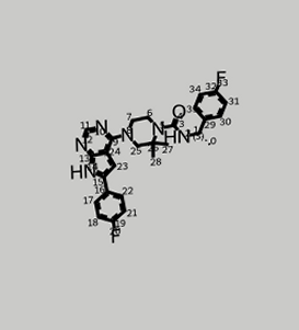 C[C@H](NC(=O)N1CCN(c2ncnc3[nH]c(-c4ccc(F)cc4)cc23)CC1(C)C)c1ccc(F)cc1